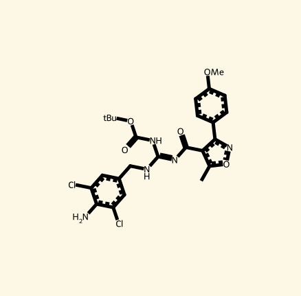 COc1ccc(-c2noc(C)c2C(=O)/N=C(/NCc2cc(Cl)c(N)c(Cl)c2)NC(=O)OC(C)(C)C)cc1